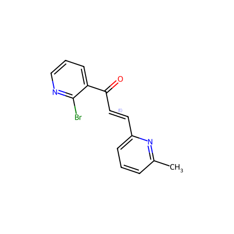 Cc1cccc(/C=C/C(=O)c2cccnc2Br)n1